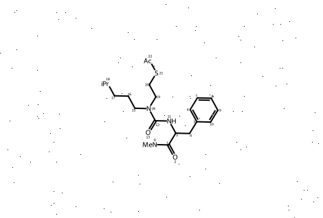 CNC(=O)C(Cc1ccccc1)NC(=O)N(CCCC(C)C)CCSC(C)=O